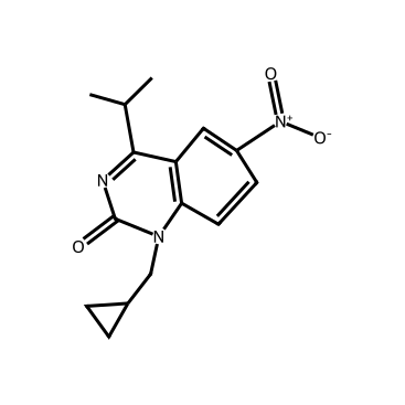 CC(C)c1nc(=O)n(CC2CC2)c2ccc([N+](=O)[O-])cc12